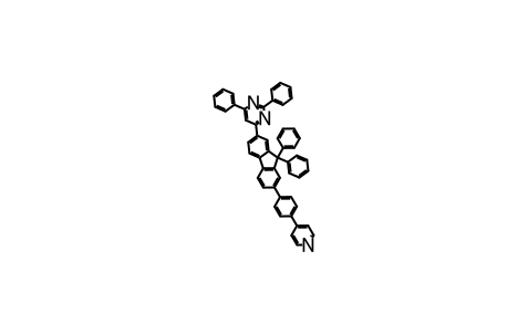 c1ccc(-c2cc(-c3ccc4c(c3)C(c3ccccc3)(c3ccccc3)c3cc(-c5ccc(-c6ccncc6)cc5)ccc3-4)nc(-c3ccccc3)n2)cc1